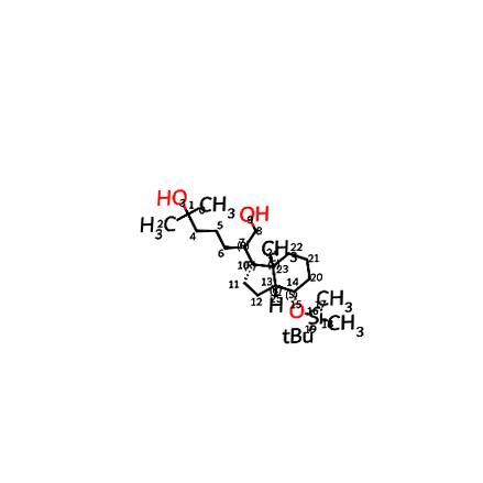 CC(C)(O)CCC[C@@H](CO)[C@H]1CC[C@H]2[C@@H](O[Si](C)(C)C(C)(C)C)CCC[C@@]12C